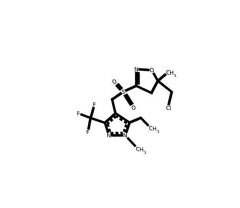 CCc1c(CS(=O)(=O)C2=NOC(C)(CCl)C2)c(C(F)(F)F)nn1C